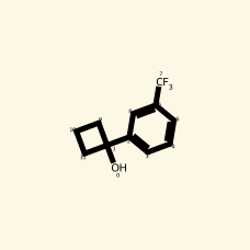 OC1(c2cccc(C(F)(F)F)c2)CCC1